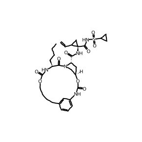 C=CC1C[C@]1(NC(=O)[C@@H]1C[C@@H]2CN1C(=O)[C@H](CCCC)NC(=O)OCCCCc1cccc(c1)NC(=O)O2)C(=O)NS(=O)(=O)C1CC1